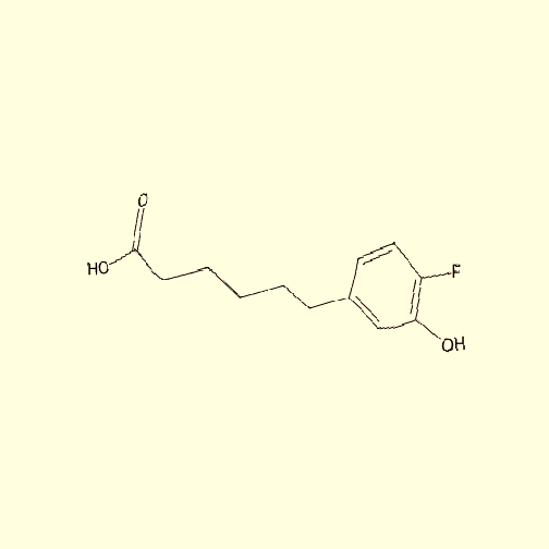 O=C(O)CCCCCc1ccc(F)c(O)c1